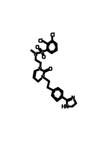 CN(CCN1C=CCN(CCc2ccc(C3=NCCN3)cc2)C1=O)S(=O)(=O)c1cccc(Cl)c1Cl